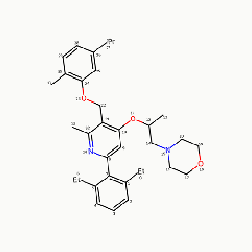 CCc1cccc(CC)c1-c1cc(OC(C)CN2CCOCC2)c(COc2cc(C(C)C)ccc2C)c(C)n1